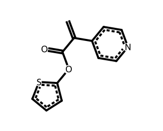 C=C(C(=O)Oc1cccs1)c1ccncc1